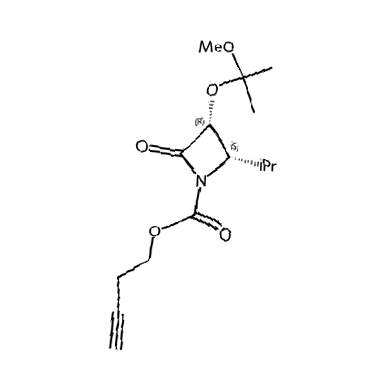 C#CCCOC(=O)N1C(=O)[C@H](OC(C)(C)OC)[C@@H]1C(C)C